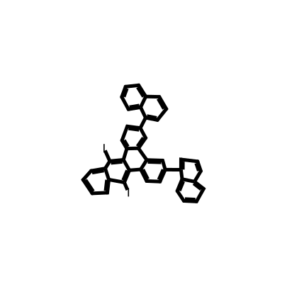 Ic1c2ccccc2c(I)c2c3ccc(-c4cccc5ccccc45)cc3c3cc(-c4cccc5ccccc45)ccc3c12